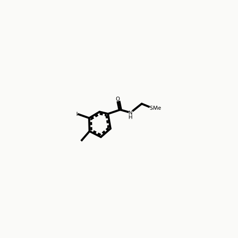 CSCNC(=O)c1ccc(C)c(I)c1